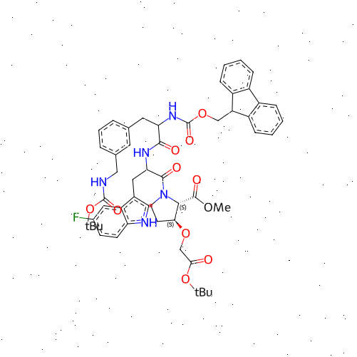 COC(=O)[C@@H]1[C@@H](OCC(=O)OC(C)(C)C)CCN1C(=O)C(Cc1c[nH]c2ccc(F)cc12)NC(=O)C(Cc1cccc(CNC(=O)OC(C)(C)C)c1)NC(=O)OCC1c2ccccc2-c2ccccc21